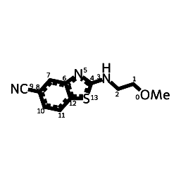 COCCNc1nc2cc(C#N)ccc2s1